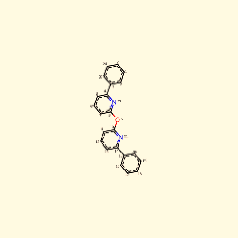 c1ccc(-c2cccc(Oc3cccc(-c4ccccc4)n3)n2)cc1